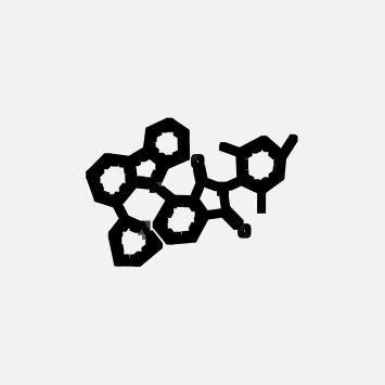 Cc1cc(C)c(N2C(=O)c3cccc(-n4c5ccccc5c5cccc(-c6ccccn6)c54)c3C2=O)c(C)c1